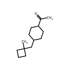 CC(=O)C1CCC(CC2(C)CCC2)CC1